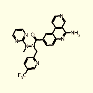 CN(c1ncccn1)N(Cc1ccc(C(F)(F)F)cn1)C(=O)c1ccc2nc(N)c3cnccc3c2c1